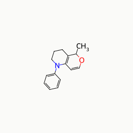 CC1OC=CC2=C1CCCN2c1ccccc1